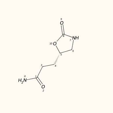 NC(=O)CC[C@H]1CNC(=O)O1